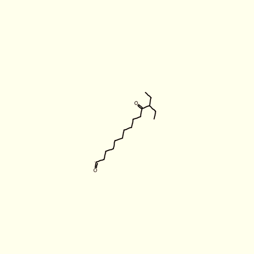 CCC(CC)C(=O)CCCCCCCCC[C]=O